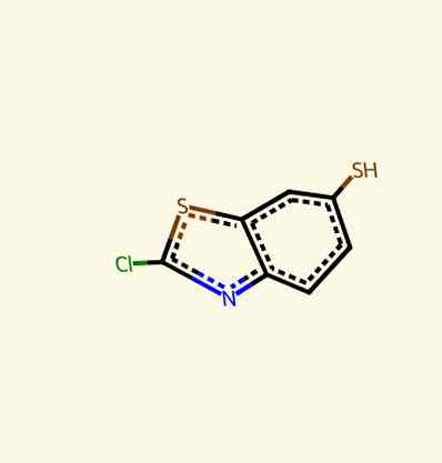 Sc1ccc2nc(Cl)sc2c1